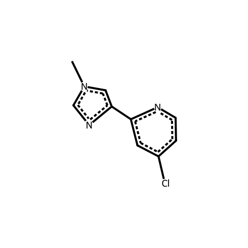 Cn1cnc(-c2cc(Cl)ccn2)c1